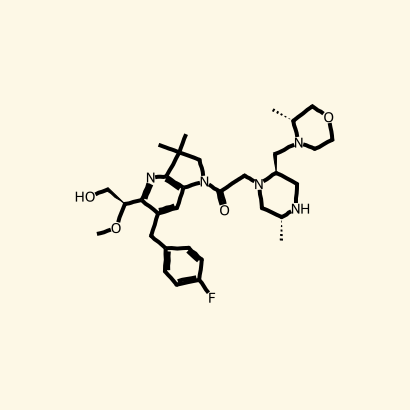 CO[C@@H](CO)c1nc2c(cc1Cc1ccc(F)cc1)N(C(=O)CN1C[C@@H](C)NC[C@@H]1CN1CCOC[C@H]1C)CC2(C)C